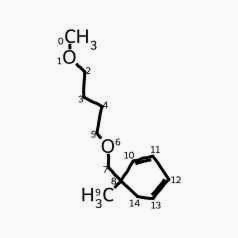 COCCCCOCC1(C)C=CC=CC1